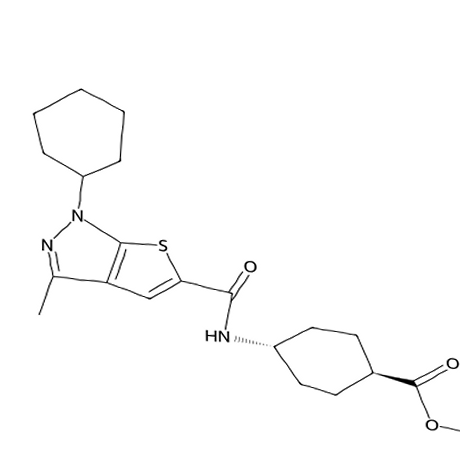 COC(=O)[C@H]1CC[C@H](NC(=O)c2cc3c(C)nn(C4CCCCC4)c3s2)CC1